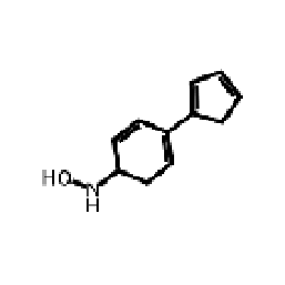 ONC1C=CC(C2=CC=CC2)=CC1